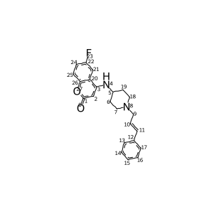 O=c1cc(NC2CCN(CC=Cc3ccccc3)CC2)c2cc(F)ccc2o1